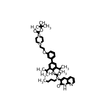 CCCCN(C(=O)Nc1c(C(C)C)cc(-c2cccc(OCCN3CCN(C(=O)OC(C)(C)C)CC3)c2)cc1C(C)C)c1cc2cccnc2[nH]c1=O